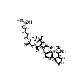 CCCc1nc(C(F)(F)C(F)(F)F)c(C(=O)NCC(=O)OCCCCON(O)O)n1Cc1ccc(-c2ccccc2-c2nnn[nH]2)cc1